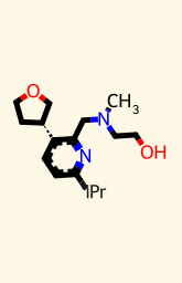 CC(C)c1ccc([C@@H]2CCOC2)c(CN(C)CCO)n1